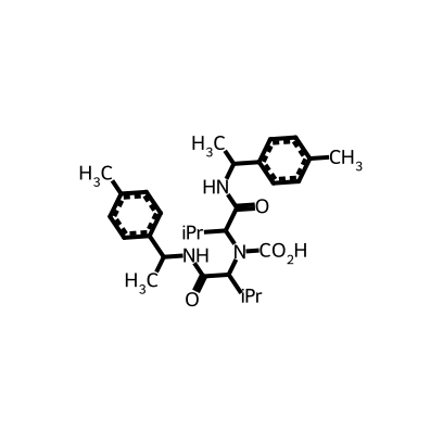 Cc1ccc(C(C)NC(=O)C(C(C)C)N(C(=O)O)C(C(=O)NC(C)c2ccc(C)cc2)C(C)C)cc1